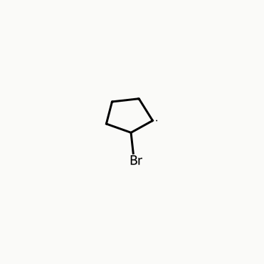 BrC1[CH]CCC1